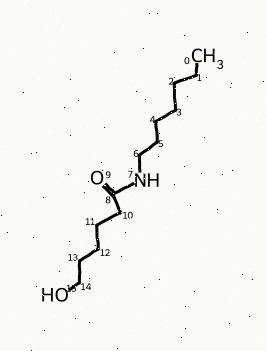 CCCCCCCNC(=O)CCCCCO